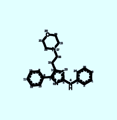 c1ccc(Nc2nc(-c3ccccc3)c(CCN3CCOCC3)s2)cc1